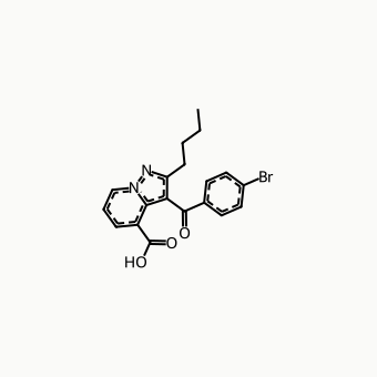 CCCCc1nn2cccc(C(=O)O)c2c1C(=O)c1ccc(Br)cc1